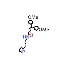 COc1ccc(C(=C/C=C/C(=O)NCCCCCc2ccccn2)c2ccc(OC)cc2)cc1